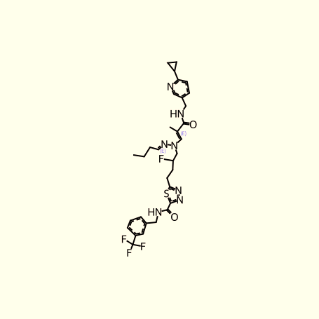 CCC/C=N/N(/C=C(\C)C(=O)NCc1ccc(C2CC2)nc1)CC(F)CCc1nnc(C(=O)NCc2cccc(C(F)(F)F)c2)s1